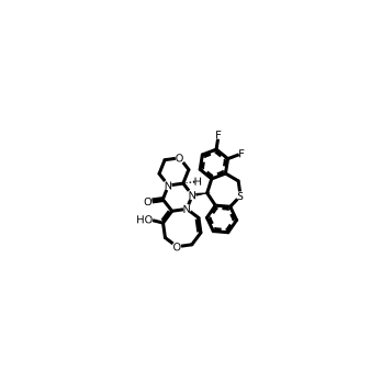 O=C1/C2=C(\O)COC/C=C\N2N([C@@H]2c3ccccc3SCc3c2ccc(F)c3F)[C@@H]2COCCN12